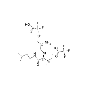 CC[C@H](C)[C@H](NC[C@@H](N)CS)C(=O)NCCC(C)C.O=C(O)C(F)(F)F.O=C(O)C(F)(F)F